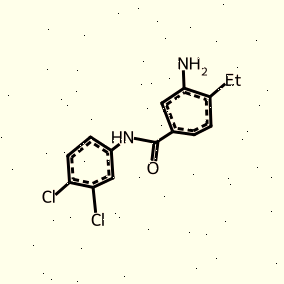 CCc1ccc(C(=O)Nc2ccc(Cl)c(Cl)c2)cc1N